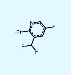 C[CH]c1ncc(F)cc1C(F)F